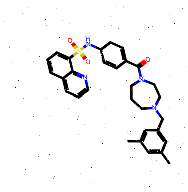 Cc1cc(C)cc(CN2CCCN(C(=O)C3=CCC(NS(=O)(=O)c4cccc5cccnc45)C=C3)CC2)c1